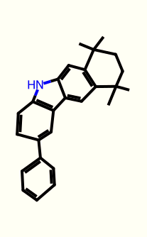 CC1(C)CCC(C)(C)c2cc3c(cc21)[nH]c1ccc(-c2ccccc2)cc13